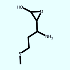 CSCCC(N)C1OC1O